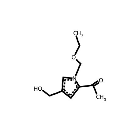 CCOCn1cc(CO)cc1C(C)=O